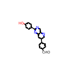 O=Cc1ccc(-c2cnc3cnc(-c4ccc(O)cc4)nc3c2)cc1